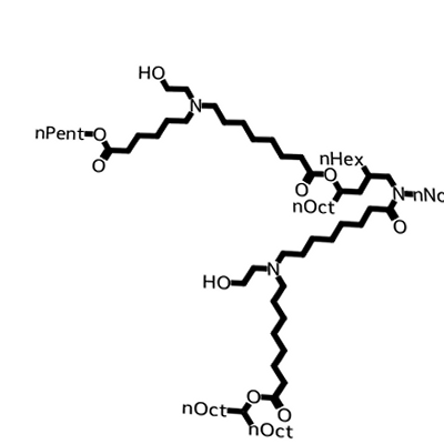 CCCCCCCCCN(CC(CCCCCC)CC(CCCCCCCC)OC(=O)CCCCCCCN(CCO)CCCCCC(=O)OCCCCC)C(=O)CCCCCCCN(CCO)CCCCCCCC(=O)OC(CCCCCCCC)CCCCCCCC